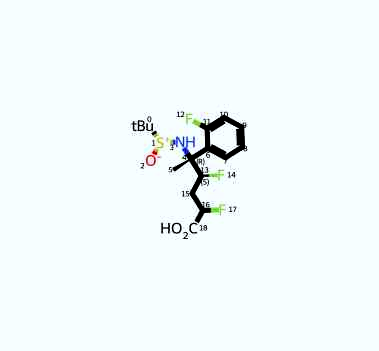 CC(C)(C)[S+]([O-])N[C@](C)(c1ccccc1F)[C@@H](F)CC(F)C(=O)O